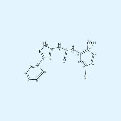 O=C(Nc1cc(-c2ccccc2)n[nH]1)Nc1cc(Cl)ccc1C(=O)O